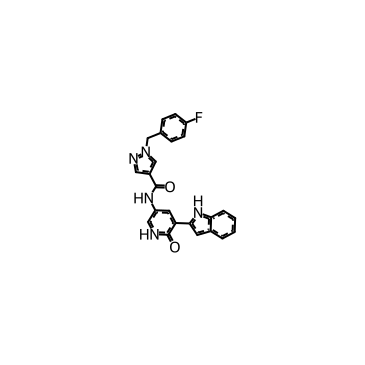 O=C(Nc1c[nH]c(=O)c(-c2cc3ccccc3[nH]2)c1)c1cnn(Cc2ccc(F)cc2)c1